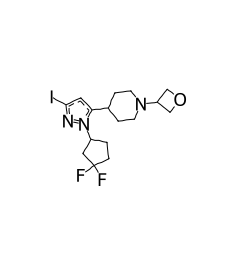 FC1(F)CCC(n2nc(I)cc2C2CCN(C3COC3)CC2)C1